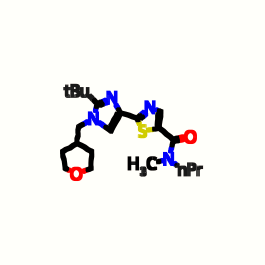 CCCN(C)C(=O)c1cnc(-c2cn(CC3CCOCC3)c(C(C)(C)C)n2)s1